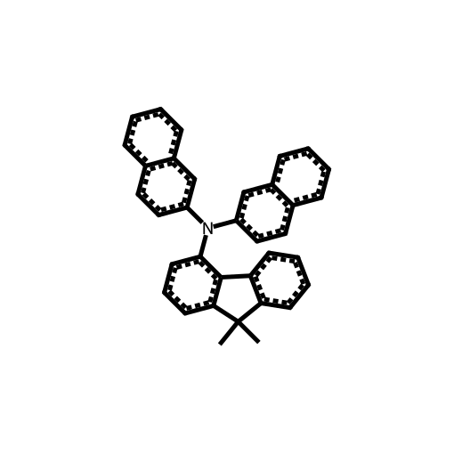 CC1(C)c2ccccc2-c2c(N(c3ccc4ccccc4c3)c3ccc4ccccc4c3)cccc21